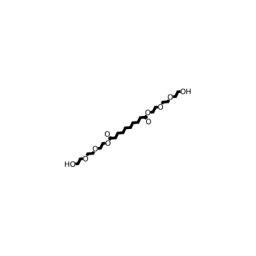 O=C(CCCCCCCCC(=O)OCCOCCOCCO)OCCOCCOCCO